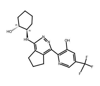 Oc1cc(C(F)(F)F)cnc1-c1nnc(N[C@@H]2CCCC[C@H]2O)c2c1CCC2